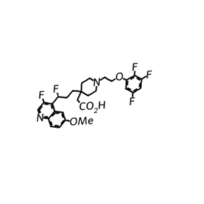 COc1ccc2ncc(F)c([C@@H](F)CCC3(CC(=O)O)CCN(CCOc4cc(F)cc(F)c4F)CC3)c2c1